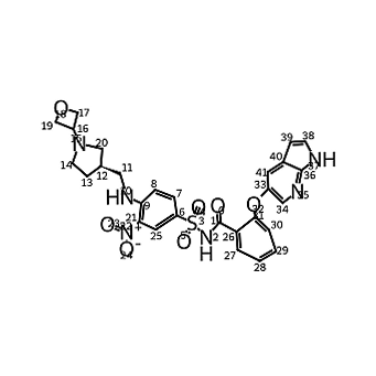 O=C(NS(=O)(=O)c1ccc(NC[C@H]2CCN(C3COC3)C2)c([N+](=O)[O-])c1)c1ccccc1Oc1cnc2[nH]ccc2c1